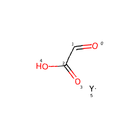 O=CC(=O)O.[Y]